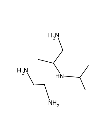 CC(C)NC(C)CN.NCCN